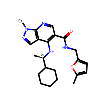 CCn1ncc2c(N[C@H](C)C3CCCCC3)c(C(=O)NCc3ccc(C)o3)cnc21